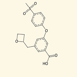 CS(=O)(=O)c1ccc(Oc2cc(CC3CCO3)cc(C(=O)O)c2)cc1